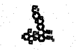 C[C@@H](Oc1ccc(N)c(C(=N)c2ccc3c(c2)COC2(CCN(CC(F)(F)F)CC2)O3)c1)c1c(Cl)cncc1Cl